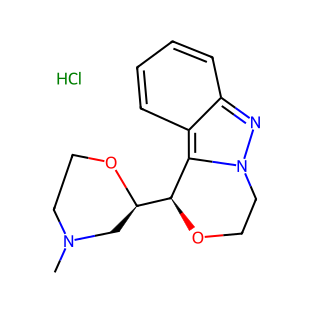 CN1CCO[C@@H]([C@@H]2OCCn3nc4ccccc4c32)C1.Cl